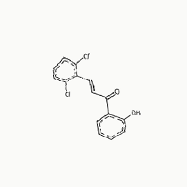 O=C(C=Cc1c(Cl)cccc1Cl)c1ccccc1O